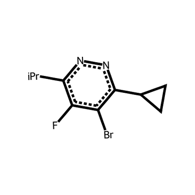 CC(C)c1nnc(C2CC2)c(Br)c1F